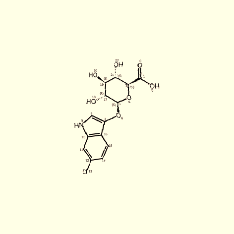 O=C(O)[C@H]1O[C@@H](Oc2c[nH]c3cc(Cl)ccc23)[C@H](O)[C@@H](O)[C@@H]1O